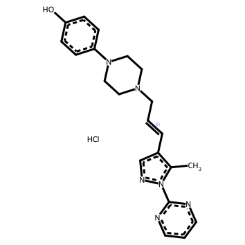 Cc1c(/C=C/CN2CCN(c3ccc(O)cc3)CC2)cnn1-c1ncccn1.Cl